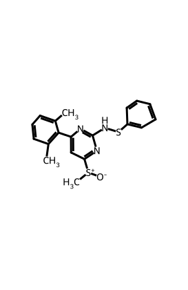 Cc1cccc(C)c1-c1cc([S+](C)[O-])nc(NSc2ccccc2)n1